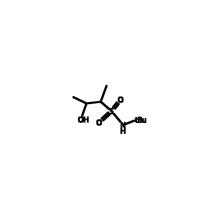 CC(O)C(C)S(=O)(=O)NC(C)(C)C